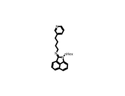 CCCCCCN1/C(=N\CCCCc2cccnc2)c2cccc3cccc1c23